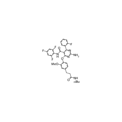 CC[C@@H](C)NC(=O)CCc1ccc(Oc2nc(N)nc(-c3ccccc3F)c2C(=O)Nc2c(F)cc(F)cc2F)c(OC)c1